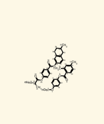 CCCCCCCCCCOc1ccc(OC(=O)c2ccc(C)cc2C)cc1.CCCCCC[C@H](C)C(=O)Oc1ccc(C(=O)Oc2ccc3c(c2)CCC(C)C3)cc1